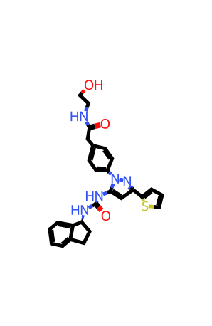 O=C(Cc1ccc(-n2nc(-c3cccs3)cc2NC(=O)N[C@H]2CCc3ccccc32)cc1)NCCO